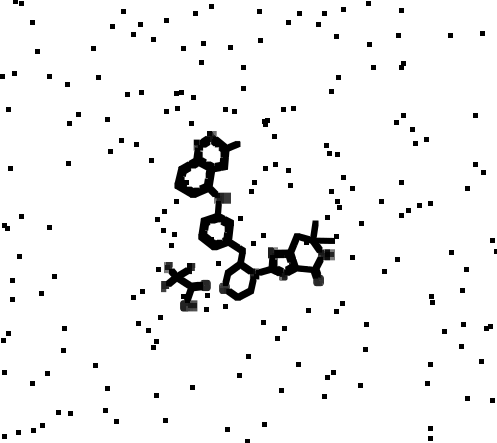 Cc1cc2c(Nc3cccc(CC4COCCN4c4nc5c(s4)C(=O)NC(C)(C)C5)c3)cccc2nn1.O=C(O)C(F)(F)F